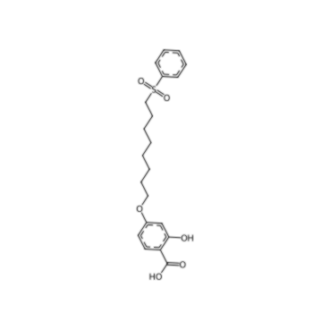 O=C(O)c1ccc(OCCCCCCCCS(=O)(=O)c2ccccc2)cc1O